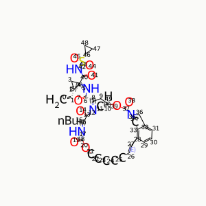 C=C[C@@H]1C[C@]1(NC(=O)[C@@H]1C[C@@H]2CN1C(=O)[C@H](CCCC)NC(=O)OCCCCC/C=C/c1cccc3c1CN(C3)C(=O)O2)C(=O)NS(=O)(=O)C1CC1